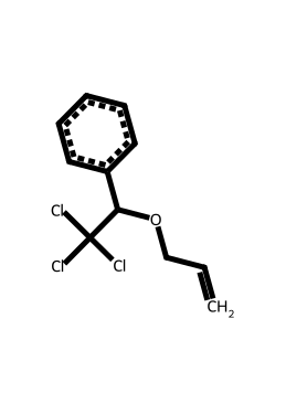 C=CCOC(c1ccccc1)C(Cl)(Cl)Cl